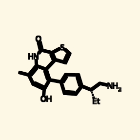 CC[C@@H](CN)c1ccc(-c2c(O)cc(C)c3[nH]c(=O)c4sccc4c23)cc1